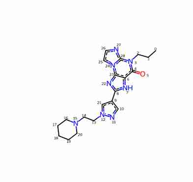 CCCn1c(=O)c2[nH]c(-c3cnn(CCN4CCCCC4)c3)nc2n2ccnc12